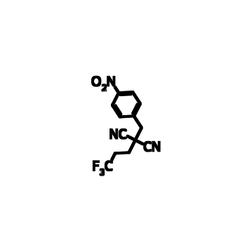 N#CC(C#N)(CCC(F)(F)F)Cc1ccc([N+](=O)[O-])cc1